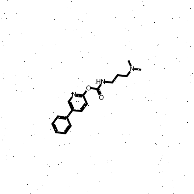 CN(C)CCCNC(=O)Oc1ccc(-c2ccccc2)cn1